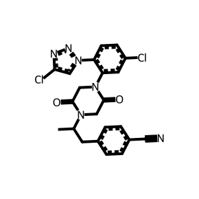 CC(Cc1ccc(C#N)cc1)N1CC(=O)N(c2cc(Cl)ccc2-n2cc(Cl)nn2)CC1=O